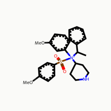 COc1ccc(S(=O)(=O)[N+](c2cccc(OC)c2)(C2CCNCC2)C(C)c2ccccc2)cc1